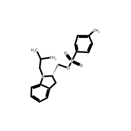 C[C](C)CN1c2ccccc2C[C@H]1COS(=O)(=O)c1ccc(C)cc1